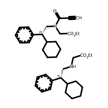 C#CC(=O)N(CC(=O)OCC)C[C@@H](c1ccccc1)C1CCCCC1.CCOC(=O)CNC[C@@H](c1ccccc1)C1CCCCC1